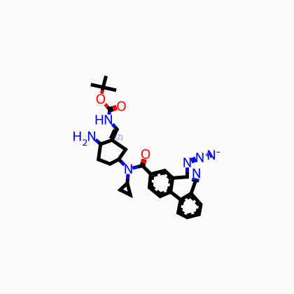 CC(C)(C)OC(=O)N/C=C1/CC(N(C(=O)c2ccc(-c3ccccc3C#N)c(CN=[N+]=[N-])c2)C2CC2)CCC1N